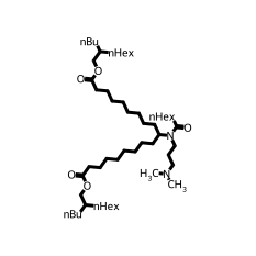 CCCCCCC(=O)N(CCCN(C)C)C(CCCCCCCCC(=O)OCC(CCCC)CCCCCC)CCCCCCCCC(=O)OCC(CCCC)CCCCCC